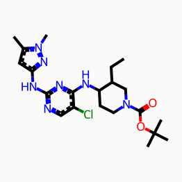 CCC1CN(C(=O)OC(C)(C)C)CCC1Nc1nc(Nc2cc(C)n(C)n2)ncc1Cl